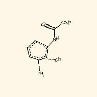 N#Cc1c(N)cccc1NC(=O)C(=O)O